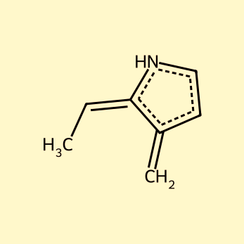 C=c1cc[nH]/c1=C/C